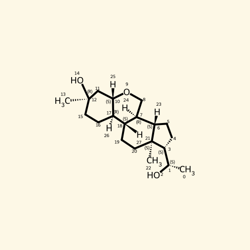 C[C@H](O)[C@H]1CC[C@H]2[C@@H]3CO[C@H]4C[C@](C)(O)CC[C@@H]4[C@H]3CC[C@]12C